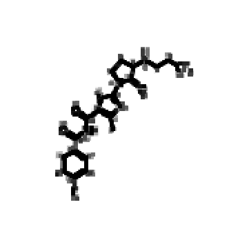 Cc1nc(N2CCC(NCCC(F)(F)F)C2=O)sc1C(=O)NC(=O)c1ccc(F)cc1